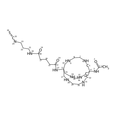 CC(=O)NC12CNCCNCC(NC(=O)CCCC(=O)NCCCN=C=S)(CNCCNC1)CNCCNC2